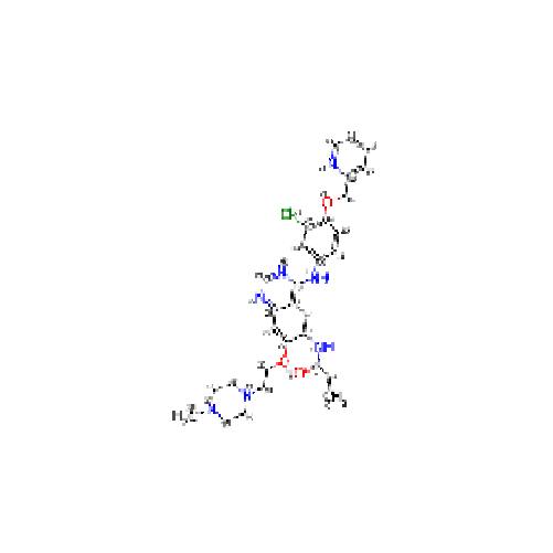 C=CC(=O)Nc1cc2c(Nc3ccc(OCc4ccccn4)c(Cl)c3)ncnc2cc1OCCN1CCN(C)CC1